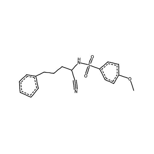 COc1ccc(S(=O)(=O)NC(C#N)CCCc2ccccc2)cc1